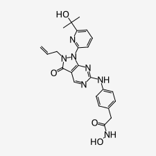 C=CCn1c(=O)c2cnc(Nc3ccc(CC(=O)NO)cc3)nc2n1-c1cccc(C(C)(C)O)n1